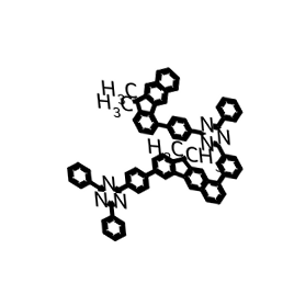 CC1(C)c2ccc(-c3ccc(-c4nc(-c5ccccc5)nc(-c5ccccc5)n4)cc3)cc2-c2cc3cccc(-c4cccc(-c5nc(-c6ccccc6)nc(-c6ccc(-c7cccc8c7-c7cc9ccccc9cc7C8(C)C)cc6)n5)c4)c3cc21